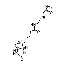 NC(=O)CNCCNC(=O)CCCC[C@H]1SC[C@H]2NC(=O)N[C@H]21